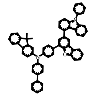 CC1(C)c2ccccc2-c2ccc(N(c3ccc(-c4ccccc4)cc3)c3ccc(-c4cc(-c5cccc6c5c5ccccc5n6-c5ccccc5)cc5c4oc4ccccc45)cc3)cc21